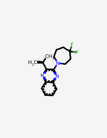 C=C(C)c1nc2ccccc2nc1N1CCCC(F)(F)CC1